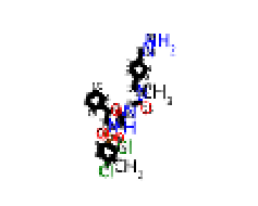 Cc1c(Cl)ccc(S(=O)(=O)N(CCc2ccccc2)CC(=O)NCC(=O)N(C)Cc2ccc(C=NN)cc2)c1Cl